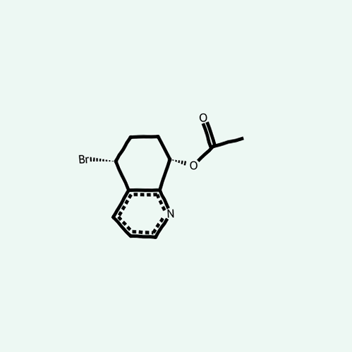 CC(=O)O[C@H]1CC[C@@H](Br)c2cccnc21